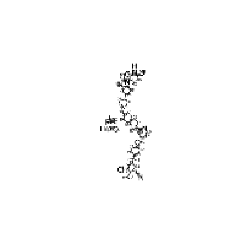 COc1c(Cl)cc(C(C)(C)c2ccc(OCc3ccnc(N4CCC5(CCC(CN6CCC(c7ccc8c(c7)n(C)c(=O)n8C7CCC(=O)NC7=O)CC6)CC5)CC4)n3)cc2)cc1C#N.O=C(O)C(F)(F)F